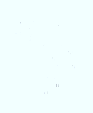 CCCNC(=O)c1c[nH]c2ncc(Oc3cccc4c3OC(C)(C)C4)nc12